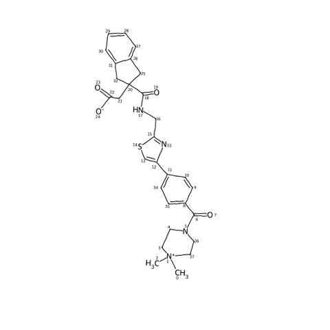 C[N+]1(C)CCN(C(=O)c2ccc(-c3csc(CNC(=O)C4(CC(=O)[O-])Cc5ccccc5C4)n3)cc2)CC1